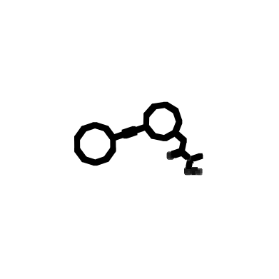 CON(C)C(=O)CC1CCCCCC(C#CC2CCCCCCCCC2)CC1